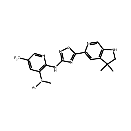 CC(=O)N(C)c1cc(C(F)(F)F)cnc1Nc1nsc(-c2cc3c(cn2)NCC3(C)C)n1